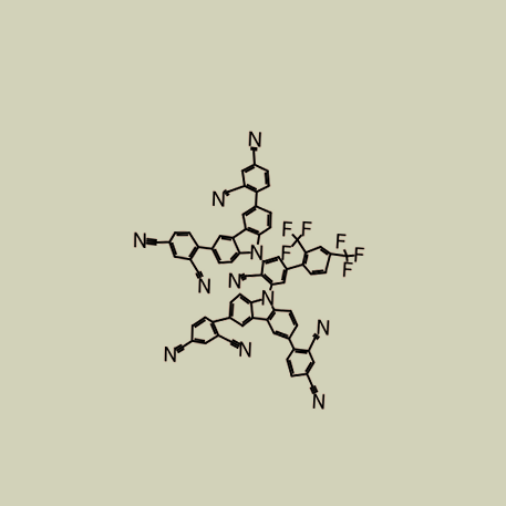 N#Cc1ccc(-c2ccc3c(c2)c2cc(-c4ccc(C#N)cc4C#N)ccc2n3-c2cc(-c3ccc(C(F)(F)F)cc3C(F)(F)F)cc(-n3c4ccc(-c5ccc(C#N)cc5C#N)cc4c4cc(-c5ccc(C#N)cc5C#N)ccc43)c2C#N)c(C#N)c1